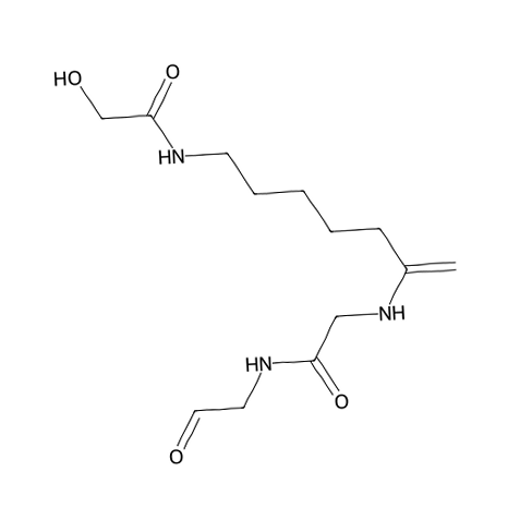 C=C(CCCCCNC(=O)CO)NCC(=O)NCC=O